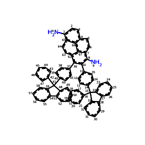 Nc1ccc2ccc3c(N)c(-c4ccc(C5(c6ccccc6)c6ccccc6-c6ccccc65)cc4)c(-c4ccc(C5(c6ccccc6)c6ccccc6-c6ccccc65)cc4)c4ccc1c2c34